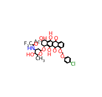 CC(=O)[C@]1(O)Cc2c(O)c3c(c(O)c2[C@@H](OC2CC(NC(=O)C(F)(F)F)C(O)C(C)O2)C1)C(=O)c1c(OCOc2ccc(Cl)cc2)cccc1C3=O